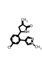 C=C1CC(c2ccc(Cl)cc2-c2cnn(C)c2)NC1=O